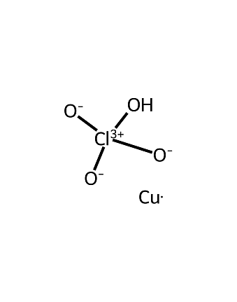 [Cu].[O-][Cl+3]([O-])([O-])O